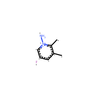 Cc1ccc[n+](N)c1C.[I-]